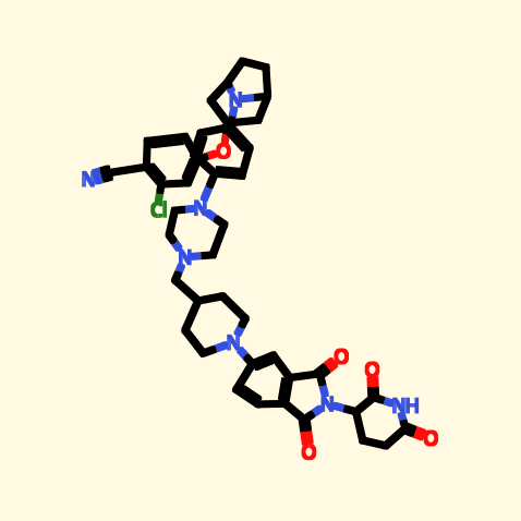 N#Cc1ccc(OC2CC3CCC(C2)N3c2ccc(N3CCN(CC4CCN(c5ccc6c(c5)C(=O)N(C5CCC(=O)NC5=O)C6=O)CC4)CC3)cc2)cc1Cl